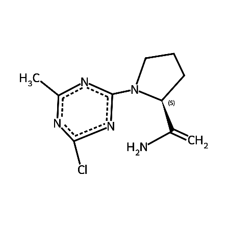 C=C(N)[C@@H]1CCCN1c1nc(C)nc(Cl)n1